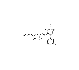 Cc1cccc(-c2cc(C)c(F)c(C)c2/C=C/[C@@H](O)C[C@@H](O)CC(=O)O)c1